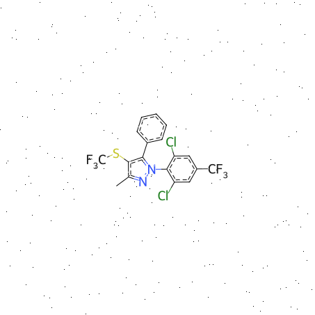 Cc1nn(-c2c(Cl)cc(C(F)(F)F)cc2Cl)c(-c2ccccc2)c1SC(F)(F)F